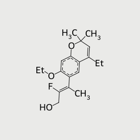 CCOc1cc2c(cc1C(C)=C(F)CO)C(CC)=CC(C)(C)O2